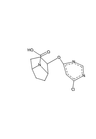 O=C(O)N1C2CCC(Oc3cc(Cl)ncn3)C1CC2